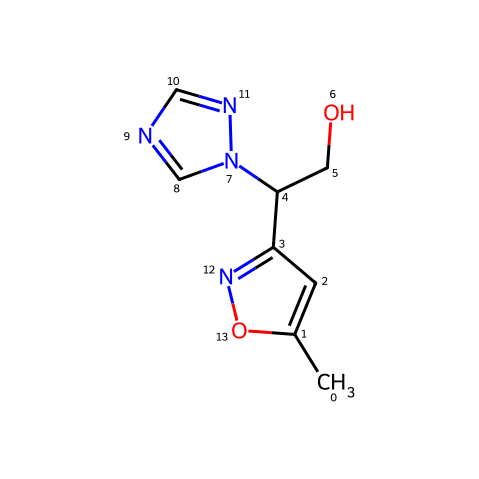 Cc1cc(C(CO)n2cncn2)no1